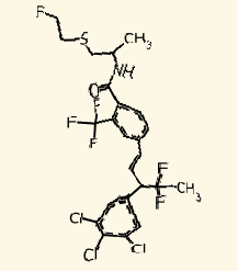 CC(CSCCF)NC(=O)c1ccc(/C=C/C(c2cc(Cl)c(Cl)c(Cl)c2)C(C)(F)F)cc1C(F)(F)F